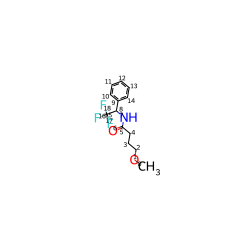 COCCCC(=O)NC(c1ccccc1)C(F)(F)F